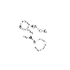 NC=O.c1ccc2cc(N3CCCCC3)ccc2c1